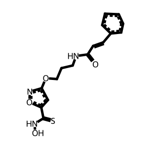 O=C(/C=C/c1ccccc1)NCCCOc1cc(C(=S)NO)on1